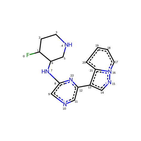 FC1CCNCC1Nc1cncc(-c2cnn3ccccc23)n1